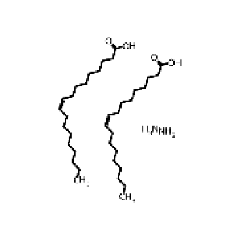 CCCCCCCC/C=C\CCCCCCCC(=O)O.CCCCCCCC/C=C\CCCCCCCC(=O)O.N.N